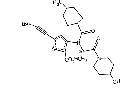 CC1CCC(C(=O)N(c2cc(C#CC(C)(C)C)sc2C(=O)O)[C@@H](C)C(=O)N2CCC(O)CC2)CC1